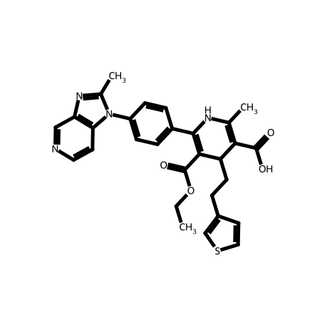 CCOC(=O)C1=C(c2ccc(-n3c(C)nc4cnccc43)cc2)NC(C)=C(C(=O)O)C1CCc1ccsc1